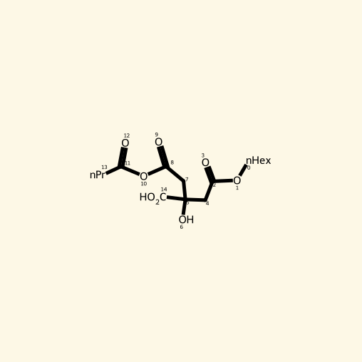 CCCCCCOC(=O)CC(O)(CC(=O)OC(=O)CCC)C(=O)O